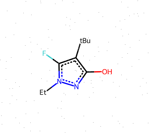 CCn1nc(O)c(C(C)(C)C)c1F